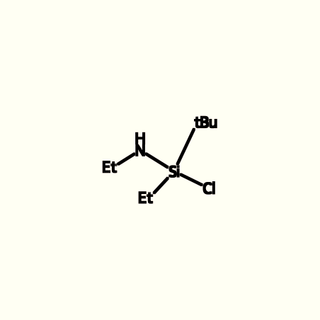 CCN[Si](Cl)(CC)C(C)(C)C